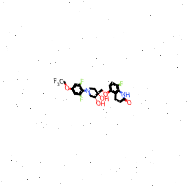 O=C1CCc2c(OC[C@]3(O)CCN(c4c(F)cc(OCC(F)(F)F)cc4F)C[C@H]3O)ccc(F)c2N1